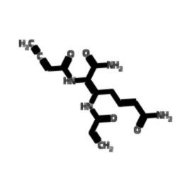 C=C=CC(=O)NC(C(N)=O)=C(CC=CC(N)=O)NC(=O)C=C